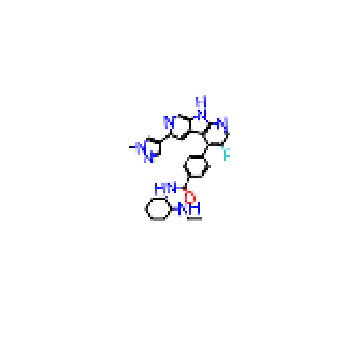 CCNC1CCCC[C@@H]1NC(=O)c1ccc(-c2c(F)cnc3[nH]c4cnc(-c5cnn(C)c5)cc4c23)cc1